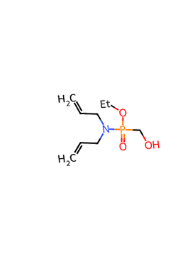 C=CCN(CC=C)P(=O)(CO)OCC